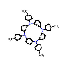 Cc1ccc(N2c3cccc(c3)N(C3=CCC(C)CC3)c3cccc(c3)N(c3ccc(C)cc3)c3cccc(c3)N(c3ccc(C)cc3)c3cccc2c3)cc1